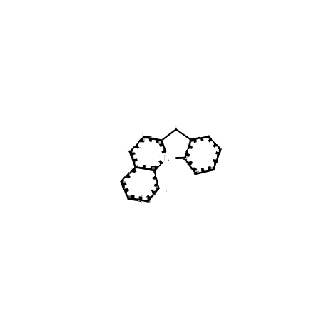 c1ccc2c(c1)Cc1ccc3ccccc3[n+]1-2